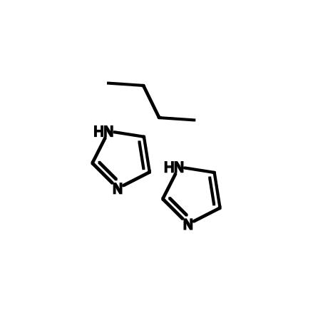 CCCC.c1c[nH]cn1.c1c[nH]cn1